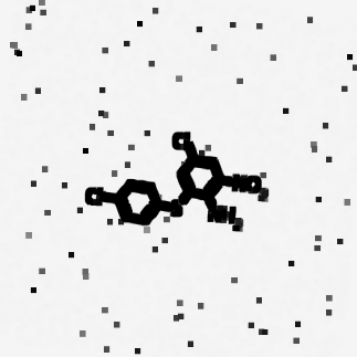 Nc1c(Sc2ccc(Cl)cc2)cc(Cl)cc1[N+](=O)[O-]